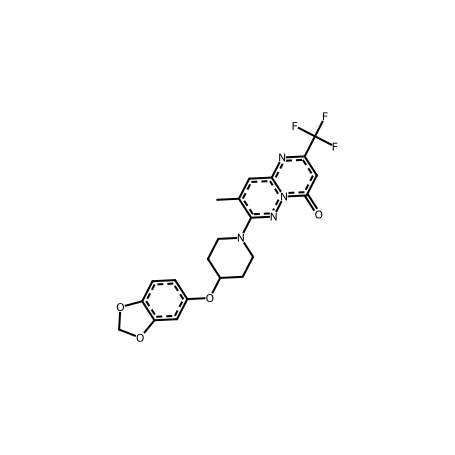 Cc1cc2nc(C(F)(F)F)cc(=O)n2nc1N1CCC(Oc2ccc3c(c2)OCO3)CC1